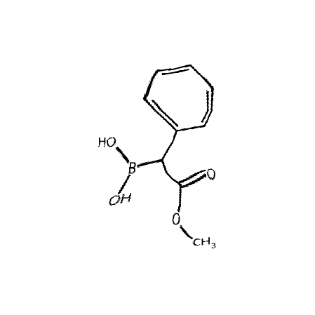 COC(=O)C(B(O)O)c1ccccc1